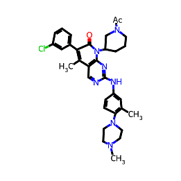 CC(=O)N1CCCC(n2c(=O)c(-c3cccc(Cl)c3)c(C)c3cnc(Nc4ccc(N5CCN(C)CC5)c(C)c4)nc32)C1